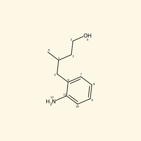 CC(CCO)Cc1ccccc1N